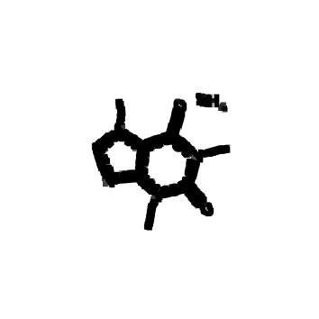 Cn1c(=O)c2c(ncn2C)n(C)c1=O.[SiH4]